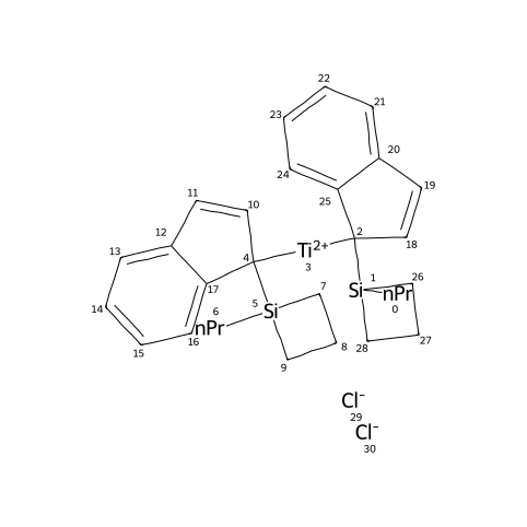 CCC[Si]1([C]2([Ti+2][C]3([Si]4(CCC)CCC4)C=Cc4ccccc43)C=Cc3ccccc32)CCC1.[Cl-].[Cl-]